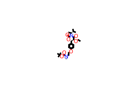 CCO[C@@H](Cc1ccc(OCCN(C)C(=O)OC(C)(C)C)cc1)C(=O)N1C(=O)OC[C@@H]1C(C)C